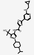 CC(C)C1CCC(n2cc(NC(=O)c3coc(-c4ccnc(NCC5CC5)c4)n3)c(C(C)(C)O)n2)CC1